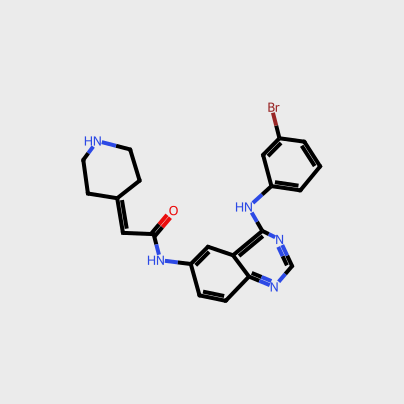 O=C(C=C1CCNCC1)Nc1ccc2ncnc(Nc3cccc(Br)c3)c2c1